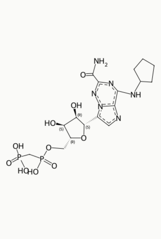 NC(=O)c1nc(NC2CCCC2)c2ncc([C@@H]3O[C@H](COP(=O)(O)CP(=O)(O)O)[C@@H](O)[C@H]3O)n2n1